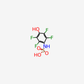 O=S(=O)(O)Nc1c(F)c(F)c(O)c(F)c1F